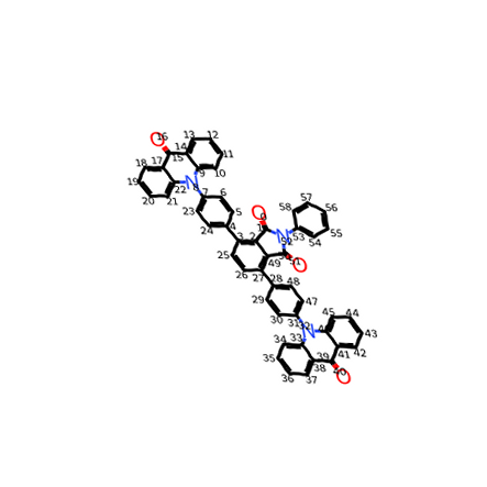 O=C1c2c(-c3ccc(-n4c5ccccc5c(=O)c5ccccc54)cc3)ccc(-c3ccc(-n4c5ccccc5c(=O)c5ccccc54)cc3)c2C(=O)N1c1ccccc1